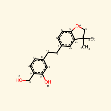 CCC1(C)COc2ccc(CCc3ccc(CO)c(O)c3)cc21